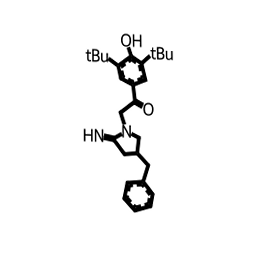 CC(C)(C)c1cc(C(=O)CN2CC(Cc3ccccc3)CC2=N)cc(C(C)(C)C)c1O